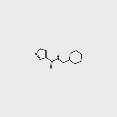 O=C(NCC1CCCCC1)c1cnoc1